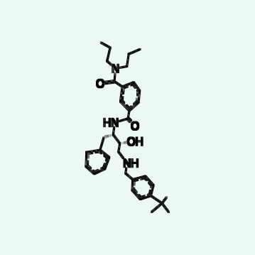 CCCN(CCC)C(=O)c1cccc(C(=O)N[C@@H](Cc2ccccc2)[C@H](O)CNCc2ccc(C(C)(C)C)cc2)c1